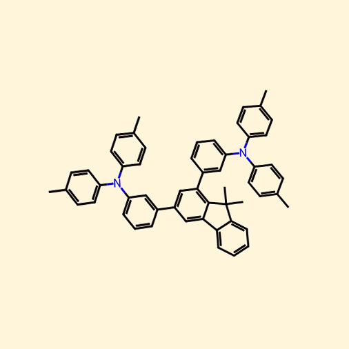 Cc1ccc(N(c2ccc(C)cc2)c2cccc(-c3cc(-c4cccc(N(c5ccc(C)cc5)c5ccc(C)cc5)c4)c4c(c3)-c3ccccc3C4(C)C)c2)cc1